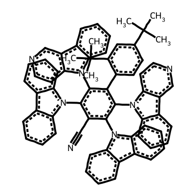 CC(C)(C)c1ccc(-c2c(-n3c4ccccc4c4cnccc43)c(-n3c4ccccc4c4ccccc43)c(C#N)c(-n3c4ccccc4c4ccccc43)c2-n2c3ccccc3c3cnccc32)c(C(C)(C)C)c1